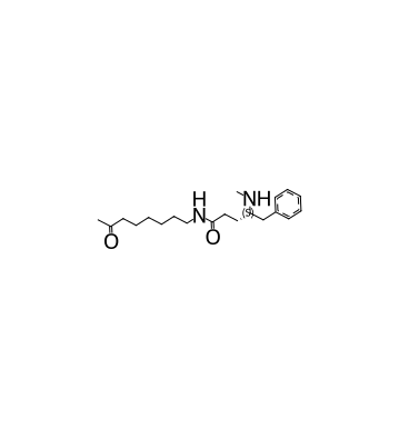 CN[C@@H](CCC(=O)NCCCCCCC(C)=O)Cc1ccccc1